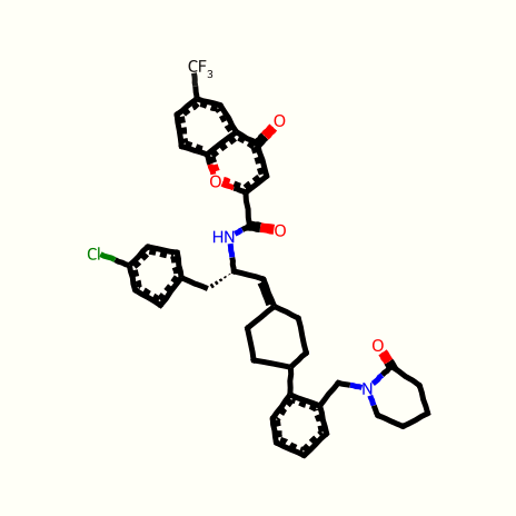 O=C(N[C@H](C=C1CCC(c2ccccc2CN2CCCCC2=O)CC1)Cc1ccc(Cl)cc1)c1cc(=O)c2cc(C(F)(F)F)ccc2o1